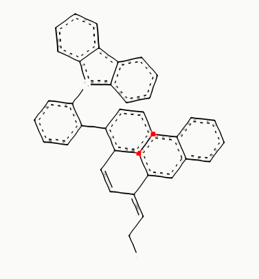 CC/C=C(\C=C/c1ccccc1-c1ccccc1-n1c2ccccc2c2ccccc21)c1ccc2ccccc2c1